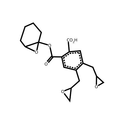 O=C(O)c1cc(CC2CO2)c(CC2CO2)cc1C(=O)OC12CCCCC1O2